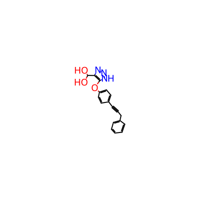 OC(O)c1nn[nH]c1Oc1ccc(C#CCc2ccccc2)cc1